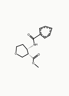 COC(=O)[C@@H]1COCC[C@@H]1NC(=O)c1ccccc1